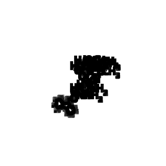 CC(C)[Si]1(C(C)C)OC[C@H]2O[C@@H](NC(N)C(N)C(=N)NC(=O)OCC3c4ccccc4-c4ccccc43)C(OC3CCCCO3)C2O[Si](C(C)C)(C(C)C)O1